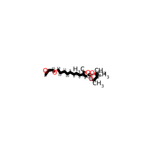 CCO[Si]1(CCCCCCCCCCOCC2CO2)OC(C)CC(C)(C)O1